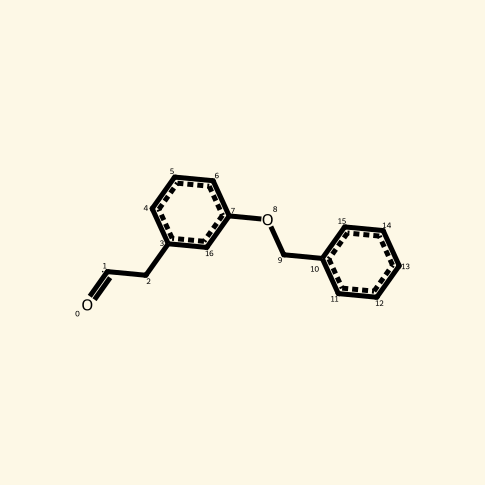 O=[C]Cc1cccc(OCc2ccccc2)c1